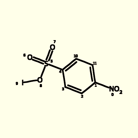 O=[N+]([O-])c1ccc(S(=O)(=O)OI)cc1